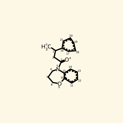 CC(CC(=O)N1CCCOc2ccccc21)c1ccccc1